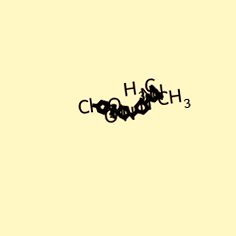 Cc1cc(N2CCC(CN3CCN(S(=O)(=O)c4ccc(Cl)cc4)CC3)CC2)nc(C)n1